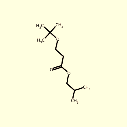 CC(C)COC(=O)CCOC(C)(C)C